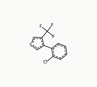 FC(F)(F)c1[c]scc1-c1ccccc1Cl